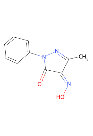 CC1=NN(c2ccccc2)C(=O)C1=NO